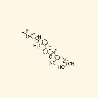 Cc1c(-c2nc3ccc(OC(F)F)cc3o2)cccc1-c1cccc(-c2nc3cc(CN4CC(C)(CO)C4)cc(C#N)c3o2)c1C